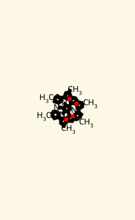 Cc1ccc2c(c1)c1cc(C)ccc1n2-c1c(C#N)c(-n2c3ccc(C)cc3c3cc(C)ccc32)c(-c2ccccc2)c(-n2c3ccc(C)cc3c3cc(C)ccc32)c1-c1ccccc1